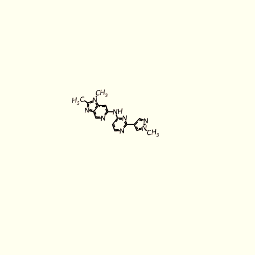 Cc1nc2cnc(Nc3ccnc(-c4cnn(C)c4)n3)cc2n1C